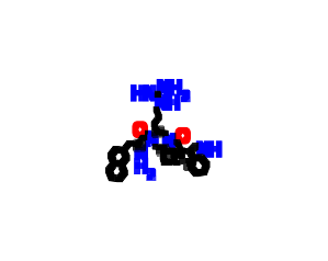 CCC(C(=O)N1C[C@H](CCCNC(=N)N)N(C(=O)[C@H](N)Cc2ccc3ccccc3c2)C[C@H]1C)c1c[nH]c2ccccc12